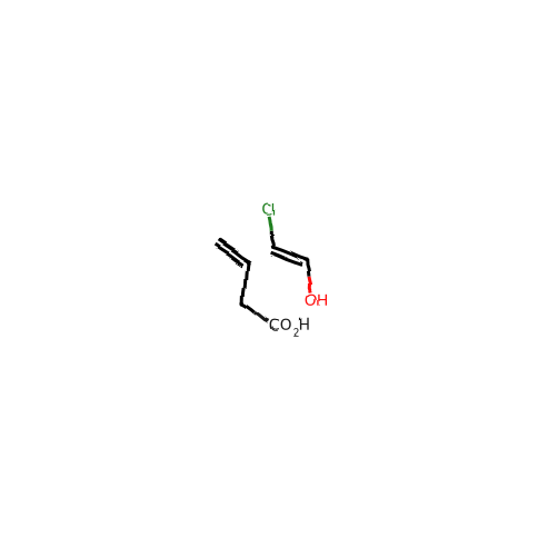 C=CCC(=O)O.OC=CCl